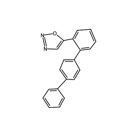 c1ccc(-c2ccc(-c3ccccc3-c3cnno3)cc2)cc1